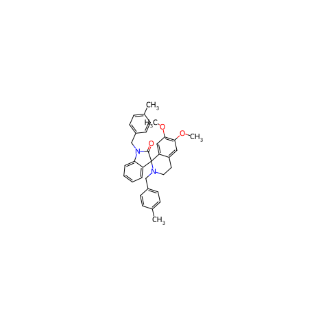 COc1cc2c(cc1OC)C1(C(=O)N(Cc3ccc(C)cc3)c3ccccc31)N(Cc1ccc(C)cc1)CC2